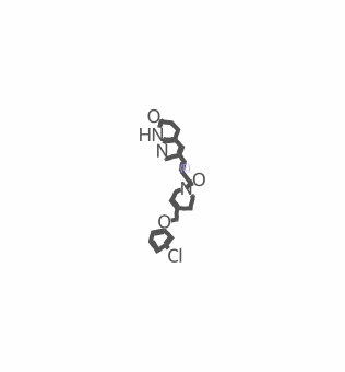 O=C1CCc2cc(/C=C/C(=O)N3CC=C(COc4cccc(Cl)c4)CC3)cnc2N1